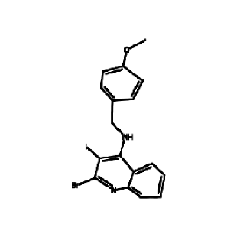 COc1ccc(CNc2c(I)c(Br)nc3ccccc23)cc1